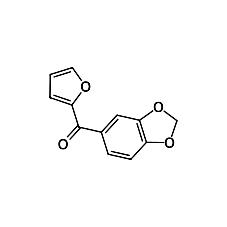 O=C(c1ccc2c(c1)OCO2)c1ccco1